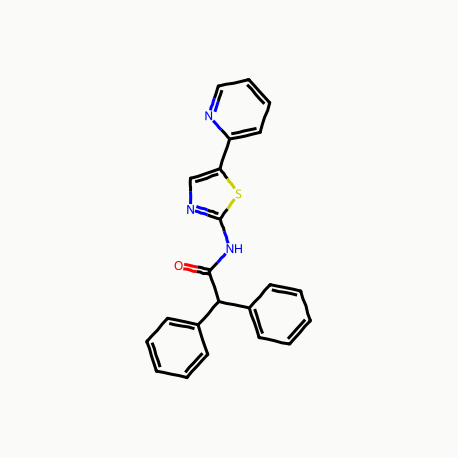 O=C(Nc1ncc(-c2ccccn2)s1)C(c1ccccc1)c1ccccc1